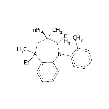 CCC[C@]1(C)CC(C)(CC)c2ccccc2N(c2ccccc2C)[C@H]1C